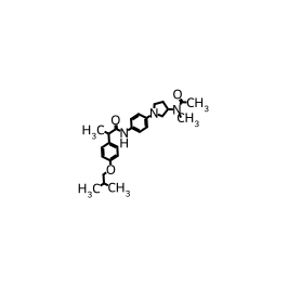 CC(=O)N(C)C1CCN(c2ccc(NC(=O)C(C)c3ccc(OCC(C)C)cc3)cc2)C1